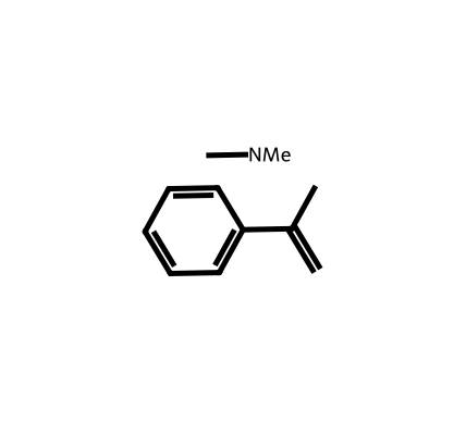 C=C(C)c1ccccc1.CNC